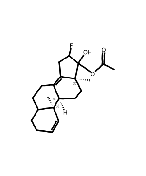 CC(=O)OC1(O)C(F)CC2=C3CCC4CCC=C[C@]4(C)[C@@H]3CC[C@@]21C